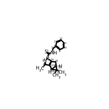 Cc1nn(C(=S)NCc2ccccc2)c2c1[C@H]1[C@@H](C2)C1(C)C